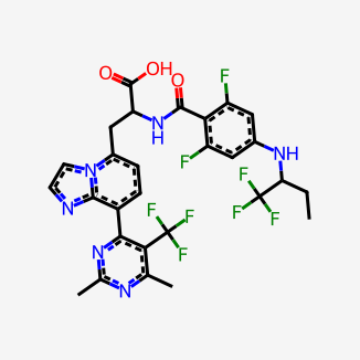 CCC(Nc1cc(F)c(C(=O)NC(Cc2ccc(-c3nc(C)nc(C)c3C(F)(F)F)c3nccn23)C(=O)O)c(F)c1)C(F)(F)F